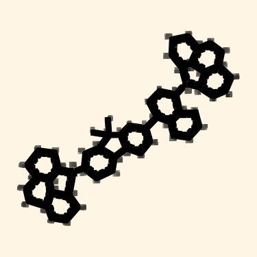 CC1(C)c2cc(-c3ccc(-n4c5cccc6ccc7cccc4c7c65)c4ccccc34)ccc2-c2ccc(-n3c4cccc5ccc6cccc3c6c54)cc21